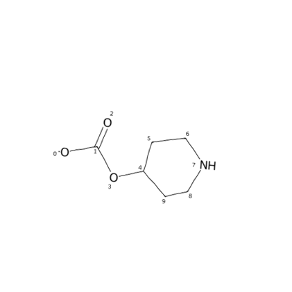 [O]C(=O)OC1CCNCC1